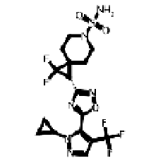 NS(=O)(=O)N1CCC2(CC1)[C@H](c1noc(-c3c(C(F)(F)F)cnn3C3CC3)n1)C2(F)F